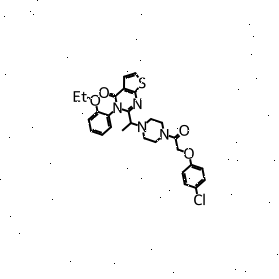 CCOc1ccccc1-n1c(C(C)N2CCN(C(=O)COc3ccc(Cl)cc3)CC2)nc2sccc2c1=O